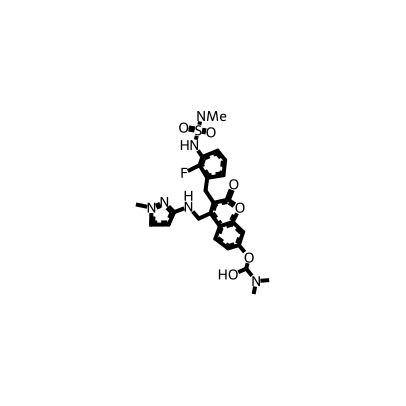 CNS(=O)(=O)Nc1cccc(Cc2c(CNc3ccn(C)n3)c3ccc(OC(O)N(C)C)cc3oc2=O)c1F